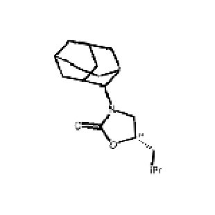 CC(C)C[C@H]1CN(C2C3CC4CC(C3)CC2C4)C(=O)O1